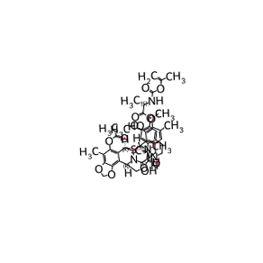 C=C(C)OC(=O)N[C@@H](C)C(=O)Oc1cc2c(cc1OC)[C@@]1(CS[C@@H]3c4c(OC(C)=O)c(C)c5c(c4[C@H](COC1=O)N1C3[C@@H]3c4c(cc(C)c(OC)c4O)C[C@@H]([C@@H]1O)N3C)OCO5)NCC2